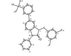 O=C1C(Cc2cc(F)cc(F)c2)c2cc(-c3cccc(C(F)(F)F)c3)ccc2N1c1cncnc1